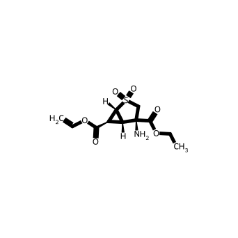 C=COC(=O)[C@@H]1[C@@H]2[C@H]1S(=O)(=O)C[C@]2(N)C(=O)OCC